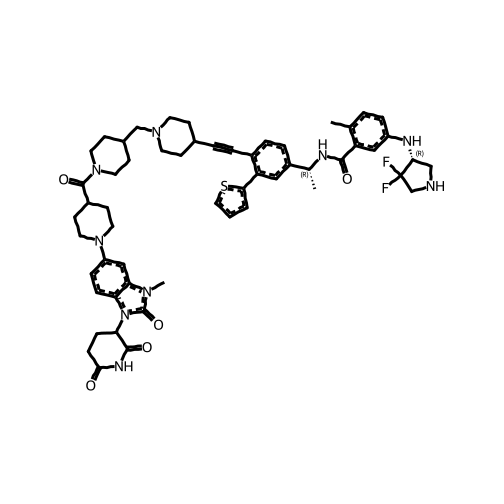 Cc1ccc(N[C@@H]2CNCC2(F)F)cc1C(=O)N[C@H](C)c1ccc(C#CC2CCN(CC3CCN(C(=O)C4CCN(c5ccc6c(c5)n(C)c(=O)n6C5CCC(=O)NC5=O)CC4)CC3)CC2)c(-c2cccs2)c1